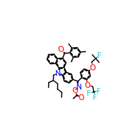 CCCCC(CC)Cn1c2ccc(/C(=N\OC(C)=O)c3ccc(OCC(C)(C)F)cc3OCC(F)(F)F)cc2c2cc(C(=O)c3c(C)cc(C)cc3C)c3ccccc3c21